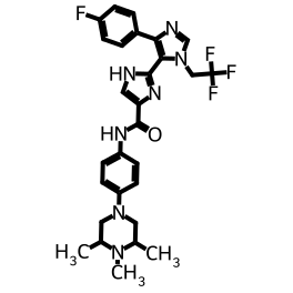 CC1CN(c2ccc(NC(=O)c3c[nH]c(-c4c(-c5ccc(F)cc5)ncn4CC(F)(F)F)n3)cc2)CC(C)N1C